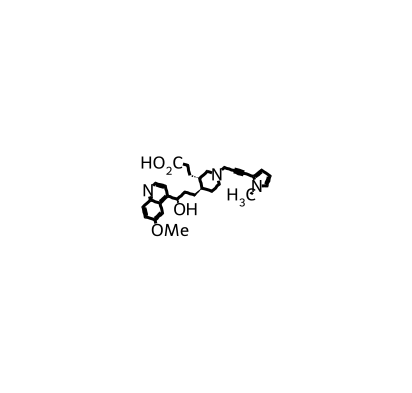 COc1ccc2nccc([C@H](O)CC[C@@H]3CCN(CC#Cc4cccn4C)C[C@H]3CCC(=O)O)c2c1